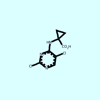 O=C(O)C1(Nc2nc(Cl)ncc2Cl)CC1